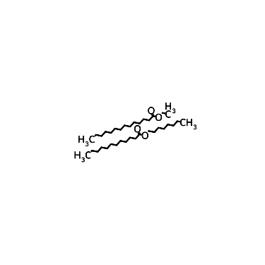 CCCCCCCCCCCC(=O)OCCCCCCCC.CCCCCCCCCCCCCC(=O)OCC